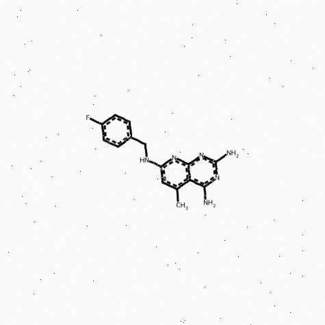 Cc1cc(NCc2ccc(F)cc2)nc2nc(N)nc(N)c12